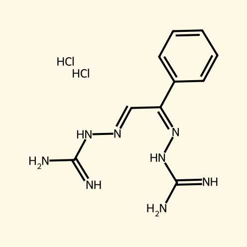 Cl.Cl.N=C(N)NN=CC(=NNC(=N)N)c1ccccc1